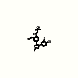 Cc1cc(-c2ccc(C#N)c(F)c2)c(-c2ccc(NCC(C)(C)O)c(C=N)c2)s1